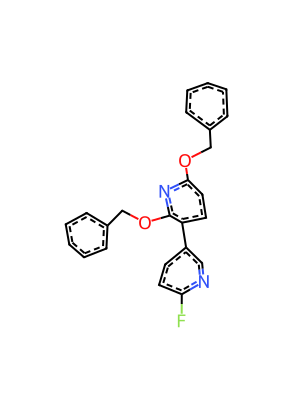 Fc1ccc(-c2ccc(OCc3ccccc3)nc2OCc2ccccc2)cn1